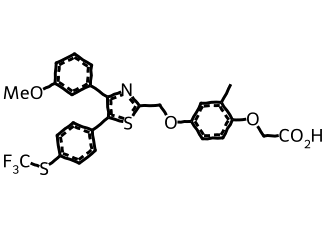 COc1cccc(-c2nc(COc3ccc(OCC(=O)O)c(C)c3)sc2-c2ccc(SC(F)(F)F)cc2)c1